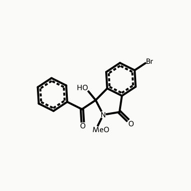 CON1C(=O)c2cc(Br)ccc2C1(O)C(=O)c1ccccc1